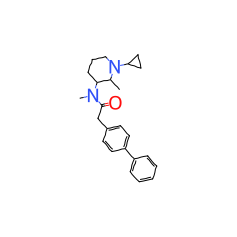 CC1C(N(C)C(=O)Cc2ccc(-c3ccccc3)cc2)CCCN1C1CC1